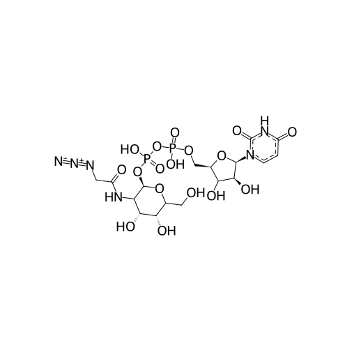 [N-]=[N+]=NCC(=O)NC1[C@@H](OP(=O)(O)OP(=O)(O)OC[C@H]2O[C@@H](n3ccc(=O)[nH]c3=O)[C@@H](O)C2O)OC(CO)[C@H](O)[C@@H]1O